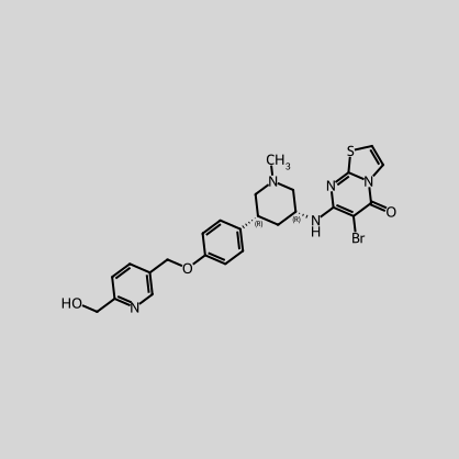 CN1C[C@H](Nc2nc3sccn3c(=O)c2Br)C[C@H](c2ccc(OCc3ccc(CO)nc3)cc2)C1